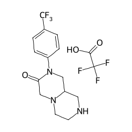 O=C(O)C(F)(F)F.O=C1CN2CCNCC2CN1c1ccc(C(F)(F)F)cc1